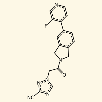 N#Cc1ncn(CC(=O)N2Cc3ccc(-c4ccncc4F)cc3C2)n1